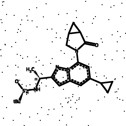 C[C@@H](N[S@+]([O-])C(C)(C)C)c1cc2cc(C3CC3)cc(N3CC4CC4C3=O)n2n1